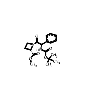 COC(=O)[C@@H]1CCN1C(=O)[C@H](NC(=O)OC(C)(C)C)c1ccccc1